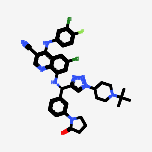 CC(C)(C)N1CCC(n2cc([C@@H](Nc3cc(Cl)cc4c(Nc5ccc(F)c(Cl)c5)c(C#N)cnc34)c3cccc(N4CCCC4=O)c3)nn2)CC1